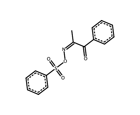 CC(=NOS(=O)(=O)c1ccccc1)C(=O)c1ccccc1